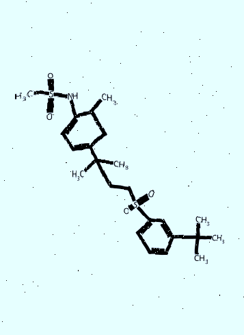 CC1CC(C(C)(C)CCS(=O)(=O)c2cccc(C(C)(C)C)c2)=CC=C1NS(C)(=O)=O